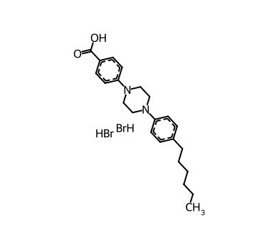 Br.Br.CCCCCCc1ccc(N2CCN(c3ccc(C(=O)O)cc3)CC2)cc1